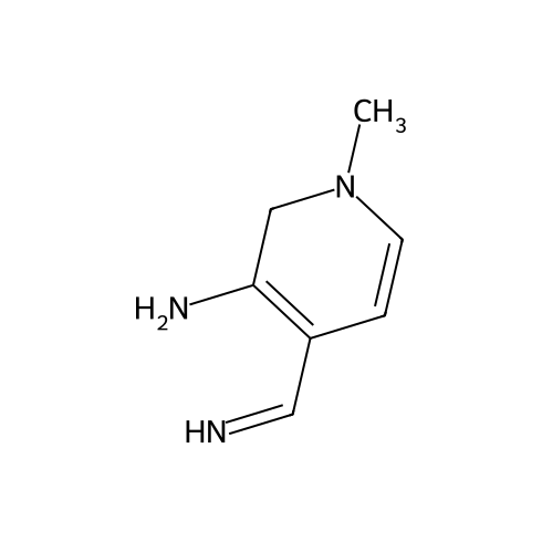 CN1C=CC(C=N)=C(N)C1